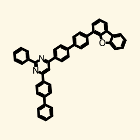 c1ccc(-c2ccc(-c3cc(-c4ccc(-c5ccc(-c6cccc7c6oc6ccccc67)cc5)cc4)nc(-c4ccccc4)n3)cc2)cc1